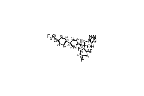 OC(Cn1cnnn1)(c1ccc(F)cc1F)C(F)(F)c1ccc(-c2ccc(OC(F)(F)F)cc2)cn1